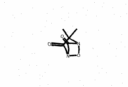 CC1(C)C(=O)n2on1c2=O